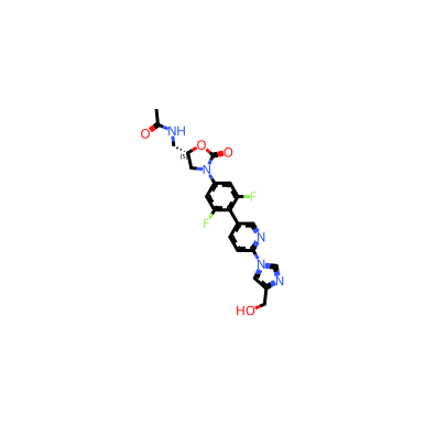 CC(=O)NC[C@H]1CN(c2cc(F)c(-c3ccc(-n4cnc(CO)c4)nc3)c(F)c2)C(=O)O1